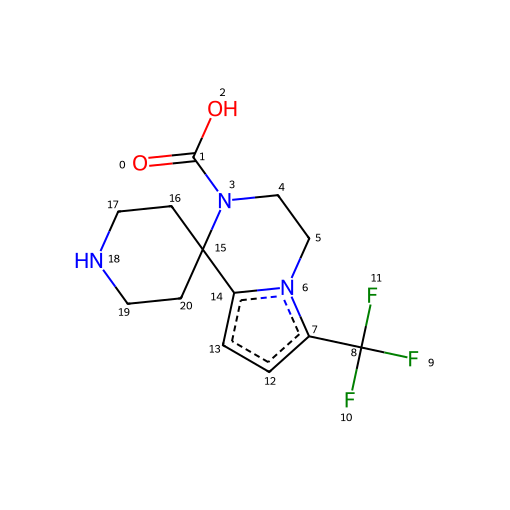 O=C(O)N1CCn2c(C(F)(F)F)ccc2C12CCNCC2